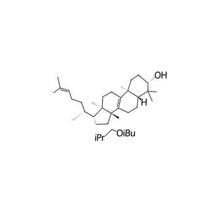 CC(C)=CCC[C@@H](C)[C@H]1CC[C@@]2(C)C3=C(CC[C@]12C)[C@@]1(C)CC[C@H](O)C(C)(C)[C@@H]1CC3.CC(C)COCC(C)C